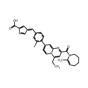 CCC1=CC(C(=O)N2CCCCC=C2C)=NC2=CC(c3ccc(/C=C4\C=NC(C(=O)O)=C4)cc3F)=C=CN12